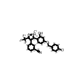 Cn1nc(C(F)(F)F)c(-c2cccc(C#N)c2)c1-c1ccc(OCc2ccc(Cl)cc2)cc1O